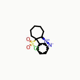 [N-]=[N+]=C1CCCCCC1(c1ccccc1)S(=O)(=O)Cl